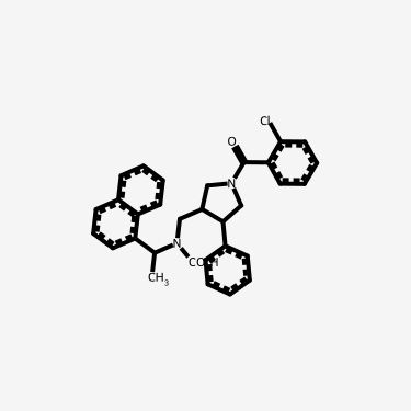 CC(c1cccc2ccccc12)N(CC1CN(C(=O)c2ccccc2Cl)CC1c1ccccc1)C(=O)O